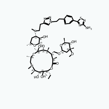 CC[C@H]1OC(=O)[C@H](C)[C@@H](CO[C@H]2C[C@@](C)(OC)[C@@H](O)[C@H](C)O2)[C@H](C)[C@@H](O[C@@H]2O[C@H](C)C[C@H](N(C)CCc3cn(CCc4ccc(-c5nc(N)ns5)cc4)nn3)[C@H]2O)[C@](C)(O)C[C@@H](C)CN(C)[C@H](C)[C@@H](O)[C@]1(C)O